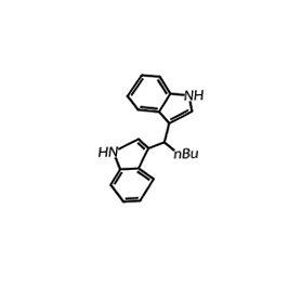 CCCCC(c1c[nH]c2ccccc12)c1c[nH]c2ccccc12